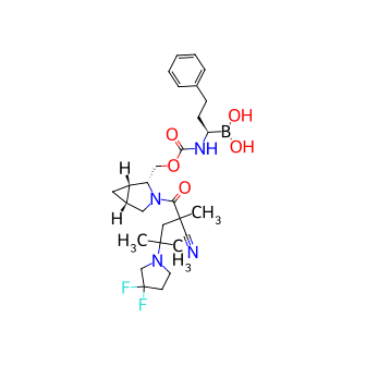 CC(C#N)(CC(C)(C)N1CCC(F)(F)C1)C(=O)N1C[C@@H]2C[C@@H]2[C@@H]1COC(=O)N[C@@H](CCc1ccccc1)B(O)O